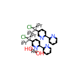 CC(C)[Si](Cl)(c1ccc(-c2ccccn2)nc1)C(C)C.CC(C)[Si](Cl)(c1ccc(-c2ccccn2)nc1)C(C)C.[OH][Ru][OH]